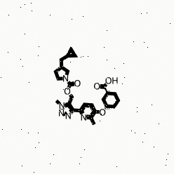 Cc1nc(-c2nnn(C)c2COC(=O)N2CCC(CC3CC3)C2)ccc1O[C@H]1CCC[C@H](C(=O)O)C1